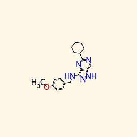 COc1ccc(CNc2n[nH]c3cnc(C4CCCCC4)nc23)cc1